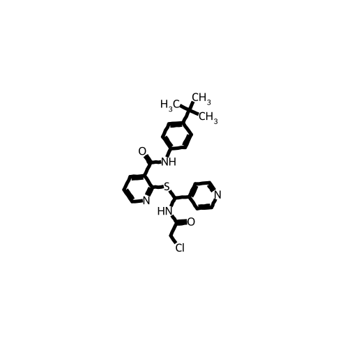 CC(C)(C)c1ccc(NC(=O)c2cccnc2SC(NC(=O)CCl)c2ccncc2)cc1